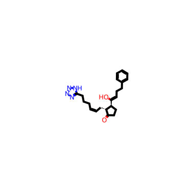 O=C1CC[C@H](C(O)=CCCc2ccccc2)[C@H]1C/C=C\CCCc1nnn[nH]1